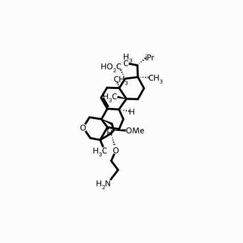 CO[C@@H]1C[C@]23COCC(C)([C@H]1OCCN)[C@@H]2CC[C@H]1C3=CC[C@@]2(C)[C@H](C(=O)O)[C@@](C)([C@H](C)C(C)C)CC[C@]12C